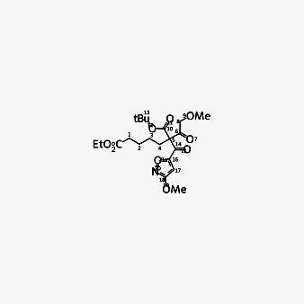 CCOC(=O)CCCCC(C(=O)COC)(C(=O)OC(C)(C)C)C(=O)c1cc(OC)no1